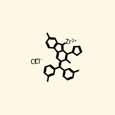 Cc1cccc(C(c2cccc(C)c2)=c2cc3c(c(C4=CC=CC4)c2C)=[C]([Zr+2])c2cc(C)ccc2-3)c1.[Cl-].[Cl-]